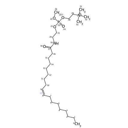 CCCCCCCC/C=C\CCCCCCCC(=O)NCCOP(=O)(OC)OCC[N+](C)(C)C